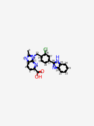 Cc1nc2ccc(C(=O)O)nc2n1Cc1ccc(-c2nc3ccccc3[nH]2)cc1Cl